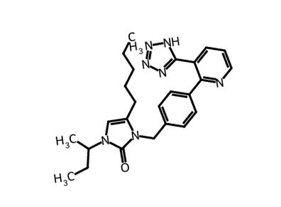 CCCCCc1cn(C(C)CC)c(=O)n1Cc1ccc(-c2ncccc2-c2nnn[nH]2)cc1